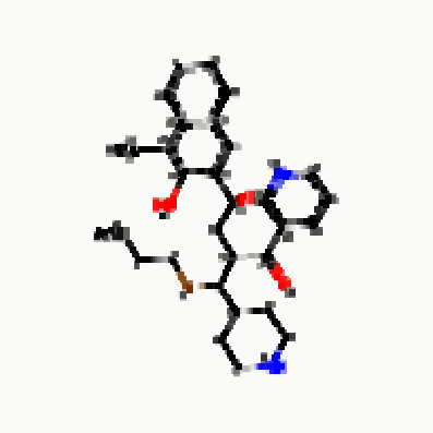 CC(=O)NCCSC(C1CCNCC1)C(CC(=O)c1cc2ccccc2c(C(=O)O)c1O)C(=O)c1cccnc1